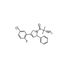 CC(C)(N)C(=O)N1CC(c2cc(Cl)ccc2F)=CC1c1ccccc1